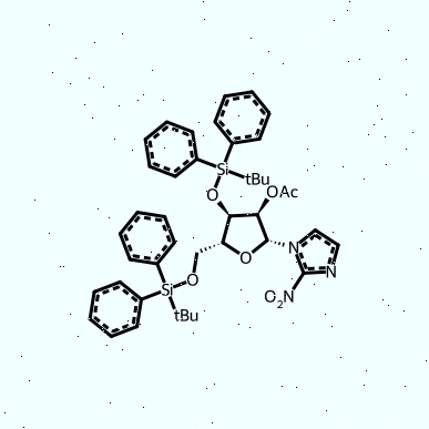 CC(=O)O[C@@H]1[C@H](O[Si](c2ccccc2)(c2ccccc2)C(C)(C)C)[C@@H](CO[Si](c2ccccc2)(c2ccccc2)C(C)(C)C)O[C@H]1n1ccnc1[N+](=O)[O-]